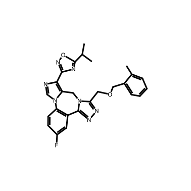 Cc1ccccc1COCc1nnc2n1Cc1c(-c3noc(C(C)C)n3)ncn1-c1ccc(F)cc1-2